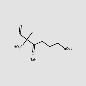 C=NC(C)(C(=O)O)C(=O)CCCCCCCCCCC.[NaH]